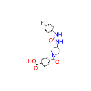 O=C(Nc1ccc(F)cc1)NC1CCN(C(=O)c2ccc(C(=O)O)cc2)CC1